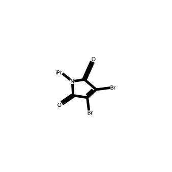 CC(C)N1C(=O)C(Br)=C(Br)C1=O